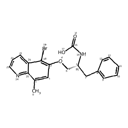 Cc1cc(OC[C@@H](Cc2ccccc2)NC(=O)O)c(Br)c2cccnc12